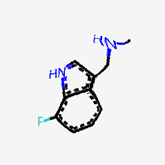 CNCc1c[nH]c2c(F)cccc12